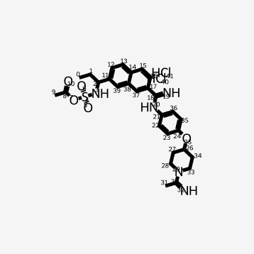 CCC(NS(=O)(=O)OC(C)=O)c1ccc2ccc(C(=N)Nc3ccc(OC4CCN(C(C)=N)CC4)cc3)cc2c1.Cl.Cl